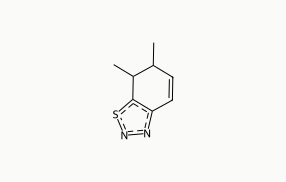 CC1C=Cc2nnsc2C1C